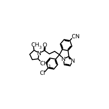 CC1CCC(C)N1C(=O)CCC1(c2ccc(Cl)cc2)c2ccc(C#N)cc2-c2nccn21